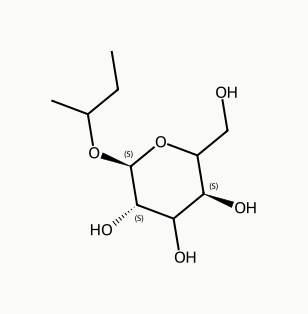 CCC(C)O[C@H]1OC(CO)[C@@H](O)C(O)[C@@H]1O